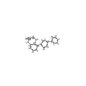 c1ccc(-c2ccc(-c3cccc4c3CSNC4)cc2)cc1